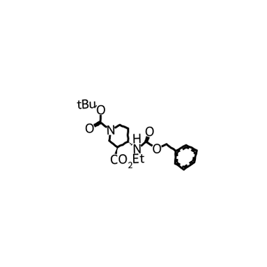 CCOC(=O)[C@H]1CN(C(=O)OC(C)(C)C)CC[C@@H]1NC(=O)OCc1ccccc1